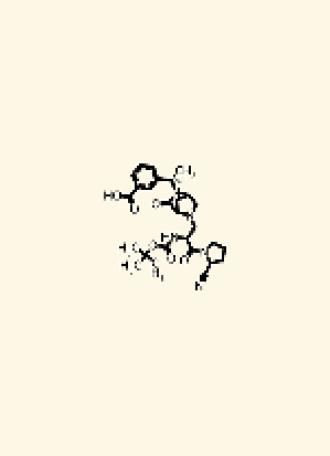 C[C@@H](c1cccc(C(=O)O)c1)N1C(=O)C2CC1CN2CC(NC(=O)OC(C)(C)C)C(=O)N1CCCC1C#N